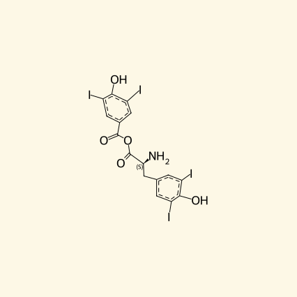 N[C@@H](Cc1cc(I)c(O)c(I)c1)C(=O)OC(=O)c1cc(I)c(O)c(I)c1